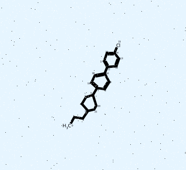 CCCC1CCC(c2ccc(-c3ccc(Cl)cc3)cc2)CC1